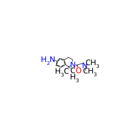 CN(C)CC(=O)N1CCc2cc(N)ccc2C1(C)C